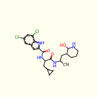 N#CC(CC1CCCNC1O)NC(=O)C(CC1CC1)NC(=O)c1cc2cc(Cl)cc(Cl)c2[nH]1